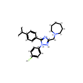 CC(C)c1ccc(-c2nc(CN3CCCCCC3)nn2-c2ccc(F)cc2)cc1